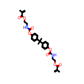 C=C(C)C(=O)OCCNC(=O)Oc1ccc(C(C)(C)c2ccc(OC(=O)NCCOC(=O)C(=C)C)cc2)cc1